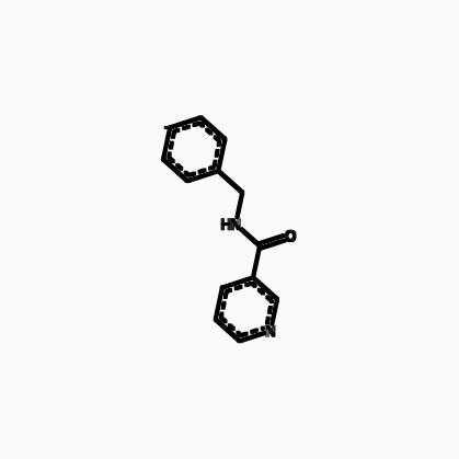 O=C(NCc1cc[c]cc1)c1cccnc1